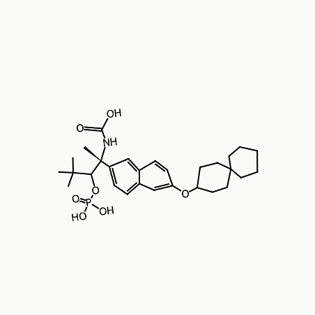 CC(C)(C)C(OP(=O)(O)O)[C@](C)(NC(=O)O)c1ccc2cc(OC3CCC4(CCCCC4)CC3)ccc2c1